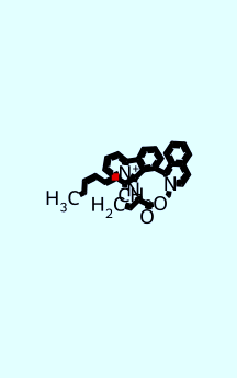 C=C/C1=N/C2(C(C)C=C/C=C\CC)c3c(cccc3-c3cccc[n+]32)-c2c3ccccc3cc[n+]2COC1=O